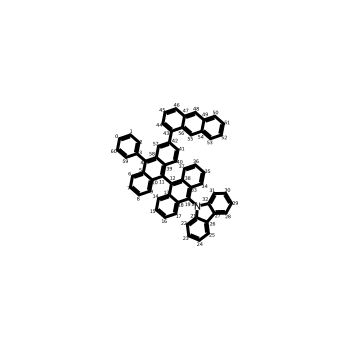 c1ccc(-c2c3ccccc3c(-c3c4ccccc4c(-n4c5ccccc5c5ccccc54)c4ccccc34)c3ccc(-c4cccc5cc6ccccc6cc45)cc23)cc1